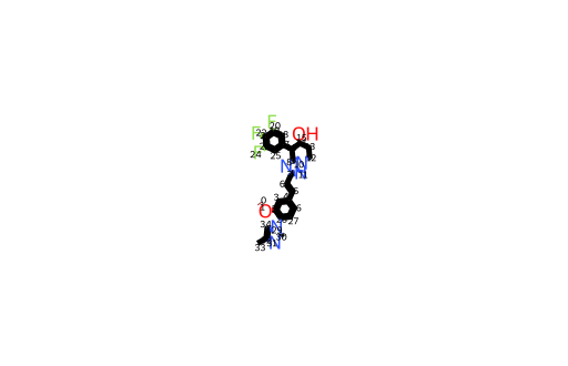 COc1cc(/C=C/c2nc3n(n2)CC[C@H](O)C3c2cc(F)c(F)c(F)c2)ccc1-n1cnc(C)c1